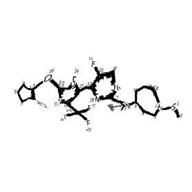 CSN1CCC(Nc2ncc(F)c(-c3sc(OC4CCCC4)nc3C(F)(F)F)n2)CC1